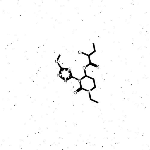 CCC(Cl)C(=S)OC1CCN(CC)C(=O)N1c1nnc(OC)s1